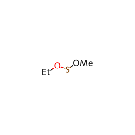 CCOSOC